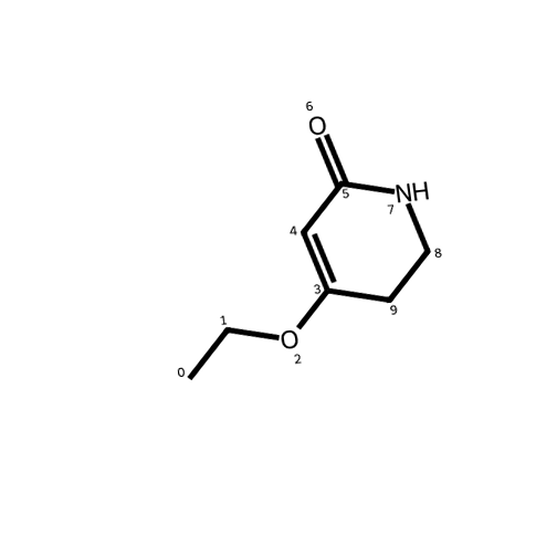 CCOC1=CC(=O)NCC1